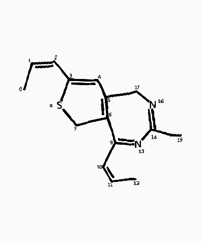 C/C=C\C1=CC2=C(CS1)C(/C=C\C)=NC(C)=NC2